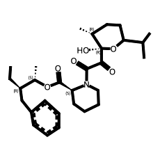 CC[C@H](Cc1ccccc1)[C@H](C)OC(=O)[C@@H]1CCCCN1C(=O)C(=O)[C@]1(O)OC(C(C)C)CC[C@H]1C